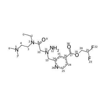 CCN(CCN(C)C)C(=O)CN(N)Cc1cc(C(=O)OCC(F)F)ccn1